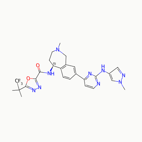 CN1CC[C@H](NC(=O)c2nnc(C(C)(C)C(F)(F)F)o2)c2ccc(-c3ccnc(Nc4cnn(C)c4)n3)cc2C1